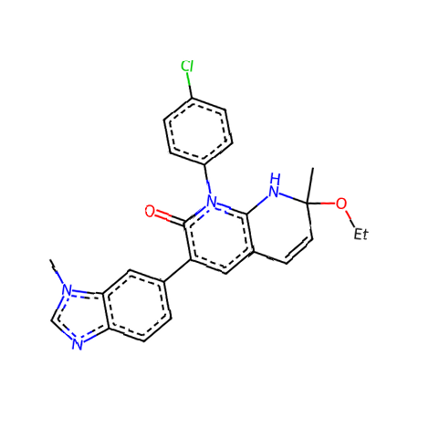 CCOC1(C)C=Cc2cc(-c3ccc4ncn(C)c4c3)c(=O)n(-c3ccc(Cl)cc3)c2N1